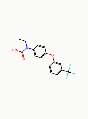 CCN(C(=O)O)c1ccc(Oc2cccc(C(F)(F)F)c2)cc1